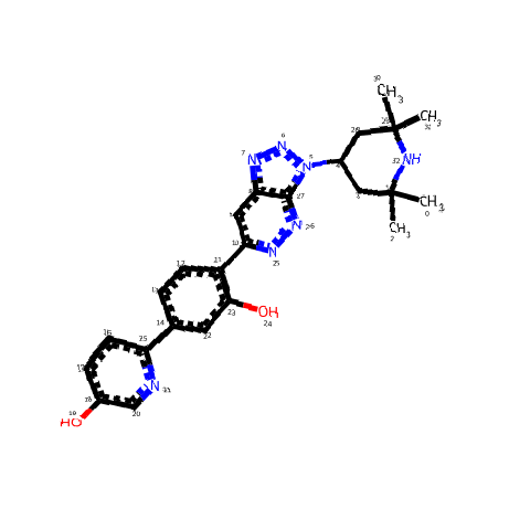 CC1(C)CC(n2nnc3cc(-c4ccc(-c5ccc(O)cn5)cc4O)nnc32)CC(C)(C)N1